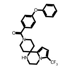 O=C(c1ccc(Oc2ccccc2)cc1)N1CCC2(CC1)NCCn1c(C(F)(F)F)ccc12